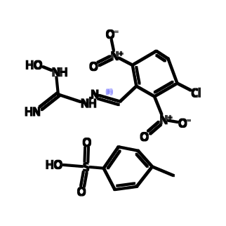 Cc1ccc(S(=O)(=O)O)cc1.N=C(NO)N/N=C/c1c([N+](=O)[O-])ccc(Cl)c1[N+](=O)[O-]